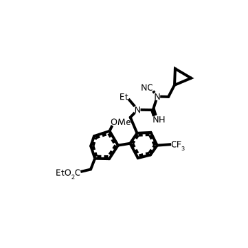 CCOC(=O)Cc1ccc(OC)c(-c2ccc(C(F)(F)F)cc2CN(CC)C(=N)N(C#N)CC2CC2)c1